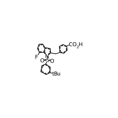 CC(C)(C)c1cccc(S(=O)(=O)n2c(Cc3ccc(C(=O)O)cc3)cc3cccc(F)c32)c1